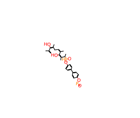 C=C(C)/C(O)=C(/C)C/C=C(C)\C(O)=C(\C)C(C)[PH](=O)Oc1ccc(-c2ccc(OP=O)cc2)cc1